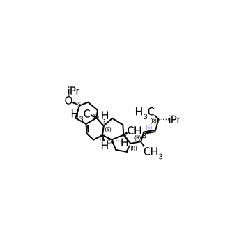 CC(C)O[C@H]1CC[C@@]2(C)C(=CC[C@H]3[C@@H]4CC[C@H]([C@H](C)/C=C/[C@H](C)C(C)C)[C@@]4(C)CC[C@@H]32)C1